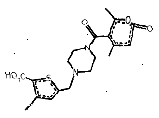 Cc1cc(CN2CCN(C(=O)c3c(C)cc(=O)oc3C)CC2)sc1C(=O)O